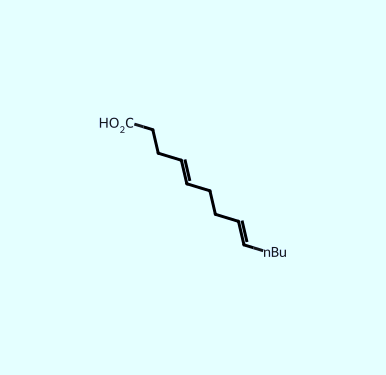 CCCC/C=C/CC/C=C/CCC(=O)O